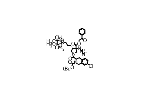 CC(C)(C)OC(=O)N1Cc2cc(Cl)ccc2CC1C(=O)N1C[C@H](CCCB2OC(C)(C)C(C)(C)O2)C(N=[N+]=[N-])(C(=O)OCC(=O)c2ccccc2)C1